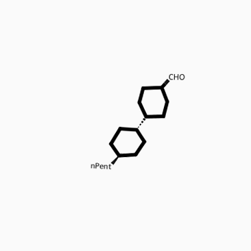 CCCCC[C@H]1CC[C@H](C2CCC(C=O)CC2)CC1